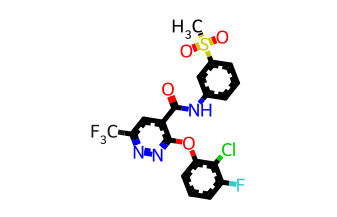 CS(=O)(=O)c1cccc(NC(=O)c2cc(C(F)(F)F)nnc2Oc2cccc(F)c2Cl)c1